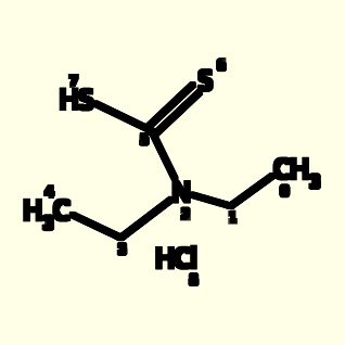 CCN(CC)C(=S)S.Cl